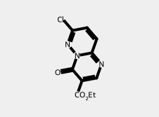 CCOC(=O)c1cnc2ccc(Cl)nn2c1=O